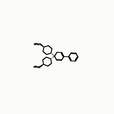 CCCCC[C@H]1CC[C@H](C2([C@H]3CC[C@H](CCCCC)CC3)C=CC(c3ccccc3)=CC2)CC1